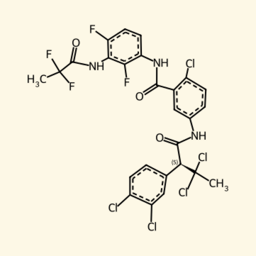 CC(F)(F)C(=O)Nc1c(F)ccc(NC(=O)c2cc(NC(=O)[C@H](c3ccc(Cl)c(Cl)c3)C(C)(Cl)Cl)ccc2Cl)c1F